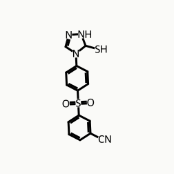 N#Cc1cccc(S(=O)(=O)c2ccc(N3C=NNC3S)cc2)c1